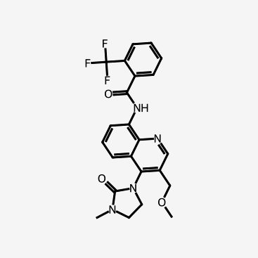 COCc1cnc2c(NC(=O)c3ccccc3C(F)(F)F)cccc2c1N1CCN(C)C1=O